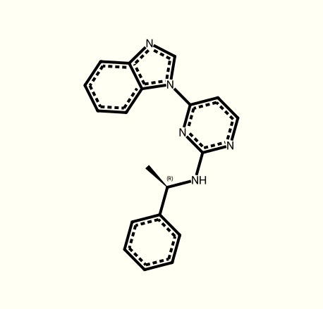 C[C@@H](Nc1nccc(-n2cnc3ccccc32)n1)c1ccccc1